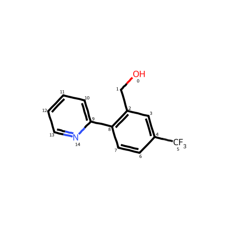 OCc1cc(C(F)(F)F)ccc1-c1ccccn1